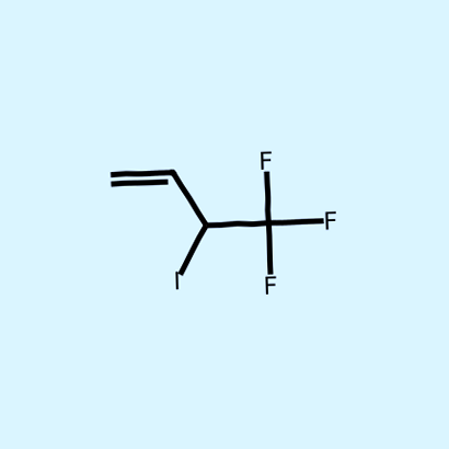 C=CC(I)C(F)(F)F